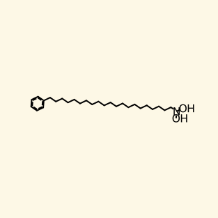 ON(O)CCCCCCCCCCCCCCCCCCCCCc1ccccc1